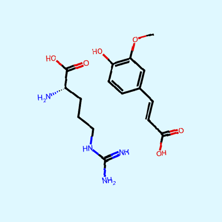 COc1cc(C=CC(=O)O)ccc1O.N=C(N)NCCC[C@H](N)C(=O)O